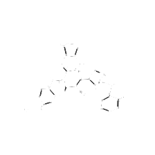 COc1ccc(Cn2c(=O)c([N+](=O)[O-])c(-c3cnn(Cc4ccccc4F)c3)n(Cc3ccoc3)c2=O)cc1